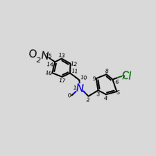 CN(Cc1ccc(Cl)cc1)Cc1ccc([N+](=O)[O-])cc1